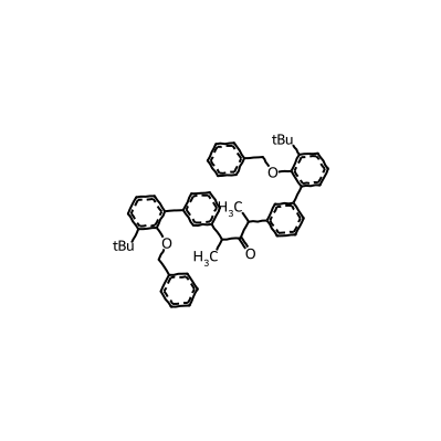 CC(C(=O)C(C)c1cccc(-c2cccc(C(C)(C)C)c2OCc2ccccc2)c1)c1cccc(-c2cccc(C(C)(C)C)c2OCc2ccccc2)c1